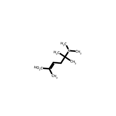 CC(=CCC(C)(C)N(C)C)C(=O)O